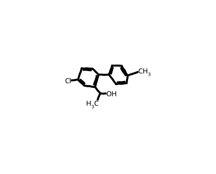 Cc1ccc(-c2ccc(Cl)cc2C(C)O)cc1